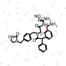 NCCC[C@@H](C(=O)NC(N)=N[N+](=O)[O-])N(Cc1ccc(CN2CCNC2=O)cc1)C(=O)C(c1ccccc1)c1ccccc1